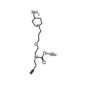 C#CCCN(CCOCCCN1CCC(N)CC1)C(=O)OC(C)(C)C